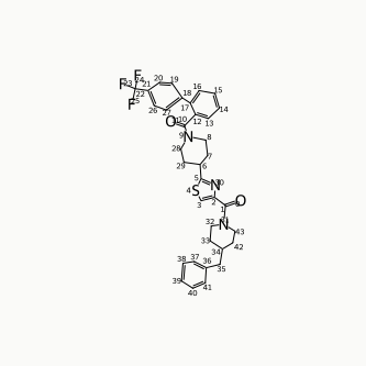 O=C(c1csc(C2CCN(C(=O)c3ccccc3-c3ccc(C(F)(F)F)cc3)CC2)n1)N1CCC(Cc2ccccc2)CC1